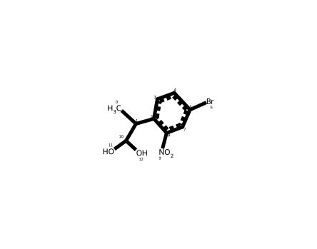 CC(c1ccc(Br)cc1[N+](=O)[O-])C(O)O